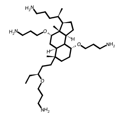 CC[C@@H](CC[C@@]1(C)CC[C@@H](OCCCN)C2[C@@H]1C[C@H](OCCCN)[C@]1(C)[C@@H]([C@H](C)CCCN)CC[C@@H]21)OCCCN